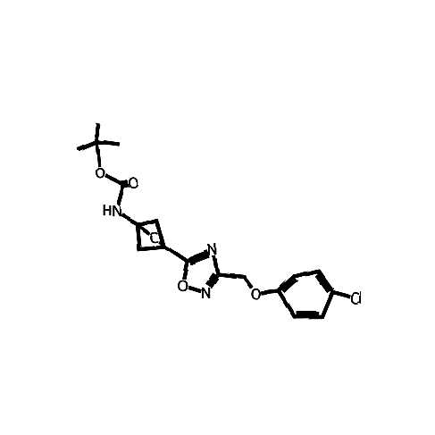 CC(C)(C)OC(=O)NC12CC(c3nc(COc4ccc(Cl)cc4)no3)(C1)C2